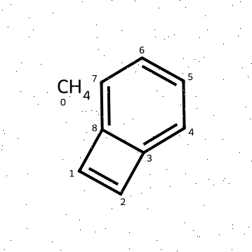 C.C1=Cc2ccccc21